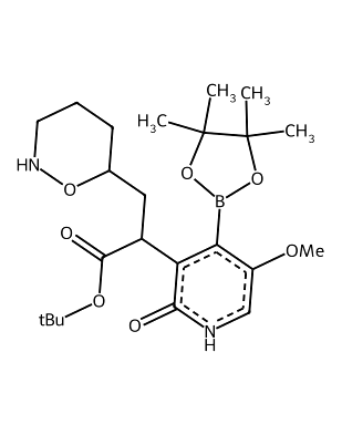 COc1c[nH]c(=O)c(C(CC2CCCNO2)C(=O)OC(C)(C)C)c1B1OC(C)(C)C(C)(C)O1